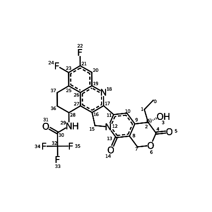 CC[C@@]1(O)C(=O)OCc2c1cc1n(c2=O)Cc2c-1nc1cc(F)c(F)c3c1c2C(NC(=O)C(F)(F)F)CC3